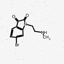 CNCCN1C(=O)C(=O)c2ccc(Br)cc21